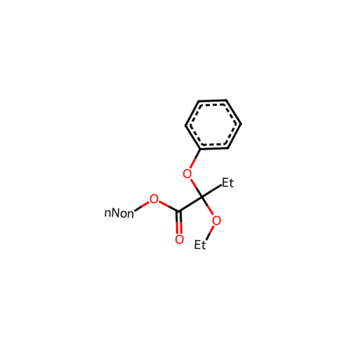 CCCCCCCCCOC(=O)C(CC)(OCC)Oc1ccccc1